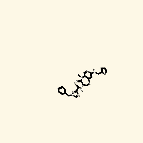 CN1C(=O)[C@@H](NC(=O)c2ncn(Cc3ccccc3)n2)CSc2cc(NCc3ccco3)ncc21